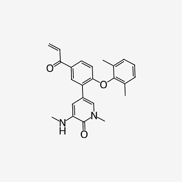 C=CC(=O)c1ccc(Oc2c(C)cccc2C)c(-c2cc(NC)c(=O)n(C)c2)c1